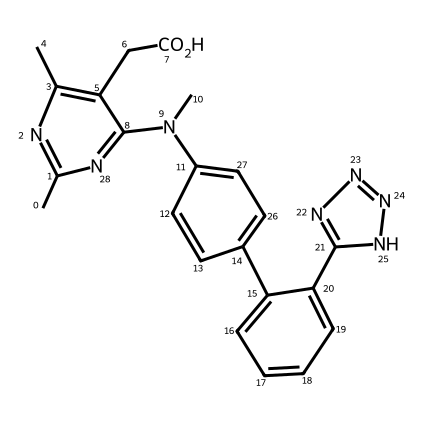 Cc1nc(C)c(CC(=O)O)c(N(C)c2ccc(-c3ccccc3-c3nnn[nH]3)cc2)n1